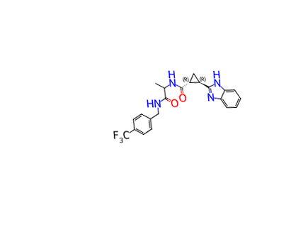 CC(NC(=O)[C@@H]1C[C@H]1c1nc2ccccc2[nH]1)C(=O)NCc1ccc(C(F)(F)F)cc1